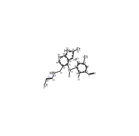 C=Cc1cc(CC)c(F)c(N(C)c2c(CN/C=C/CC)cnc3[nH]c(CC)cc23)c1F